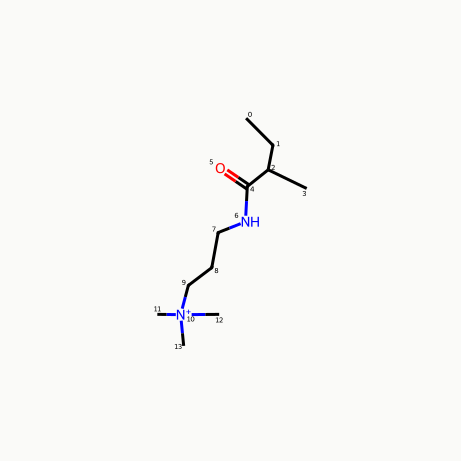 CCC(C)C(=O)NCCC[N+](C)(C)C